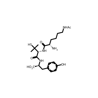 CC(=O)NCCCC[C@H](N)C(=O)N[C@H](C(=O)N[C@@H](Cc1ccc(O)cc1)C(=O)O)C(C)(C)S